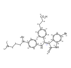 CC(=O)N(CCCN(C)C)c1ccc(N/C(=C2\C(=O)Nc3cc(Br)ccc32)c2ccc(CCC(=O)O)cc2)cc1